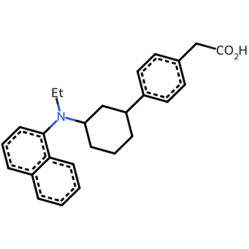 CCN(c1cccc2ccccc12)C1CCCC(c2ccc(CC(=O)O)cc2)C1